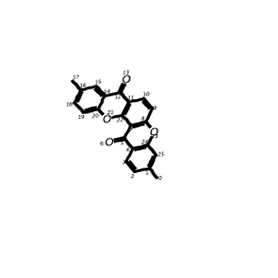 Cc1ccc2c(=O)c3c(ccc4c(=O)c5cc(C)ccc5oc43)oc2c1